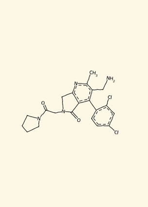 Cc1nc2c(c(-c3ccc(Cl)cc3Cl)c1CN)C(=O)N(CC(=O)N1CCCC1)C2